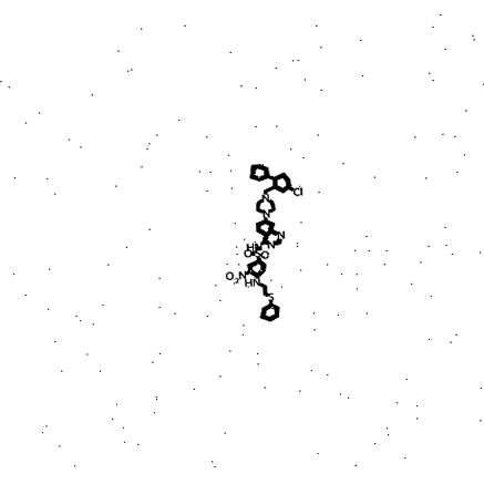 O=[N+]([O-])c1cc(S(=O)(=O)Nc2ncnc3cc(N4CCN(Cc5cc(Cl)ccc5-c5ccccc5)CC4)ccc23)ccc1NCCSc1ccccc1